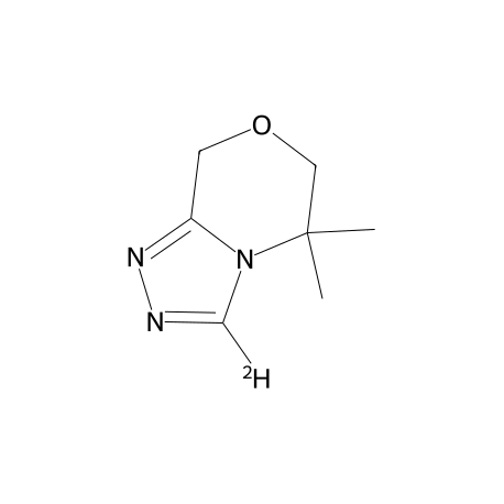 [2H]c1nnc2n1C(C)(C)COC2